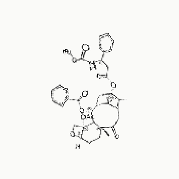 CC(=O)O[C@@]12CO[C@@H]1CC[C@@]1(C)C(=O)CC3=C(C)[C@@H](OC(=O)C[C@@H](NC(=O)OC(C)(C)C)c4ccccc4)CC([C@@H](OC(=O)c4ccccc4)C12)C3(C)C